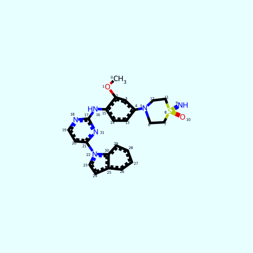 COc1cc(N2CCS(=N)(=O)CC2)ccc1Nc1nccc(-n2ccc3ccccc32)n1